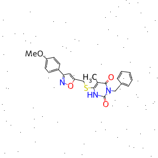 COc1ccc(-c2cc(CSc3[nH]c(=O)n(Cc4ccccc4)c(=O)c3C)on2)cc1